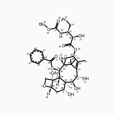 CC(=O)O[C@@]12CO[C@H]1C[C@@H](O)[C@]1(C)[C@H](O)[C@@H](O)C3=C(C)[C@H](OC(=O)[C@H](O)[C@H](CC(C)C)NC(=O)OC(C)(C)C)C[C@@](O)([C@H](OC(=O)c4ccccc4)[C@@H]21)C3(C)C